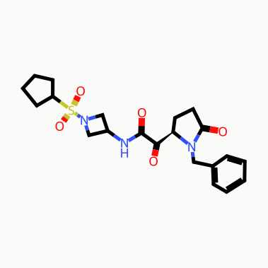 O=C(NC1CN(S(=O)(=O)C2CCCC2)C1)C(=O)[C@H]1CCC(=O)N1Cc1ccccc1